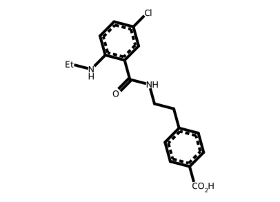 CCNc1ccc(Cl)cc1C(=O)NCCc1ccc(C(=O)O)cc1